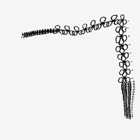 O=C([O-])[O-].O=C([O-])[O-].O=C([O-])[O-].O=C([O-])[O-].O=C([O-])[O-].O=C([O-])[O-].O=C([O-])[O-].O=C([O-])[O-].O=C([O-])[O-].O=C([O-])[O-].O=C([O-])[O-].O=C([O-])[O-].O=C([O-])[O-].O=C([O-])[O-].O=C([O-])[O-].[Na+].[Na+].[Na+].[Na+].[Na+].[Na+].[Na+].[Na+].[Na+].[Na+].[Na+].[Na+].[Na+].[Na+].[Na+].[Na+].[Na+].[Na+].[Na+].[Na+].[Na+].[Na+].[Na+].[Na+].[Na+].[Na+].[Na+].[Na+].[Na+].[Na+]